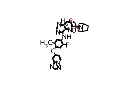 C=CC(=O)N1C2CCC1CN(c1ccc3ncnc(Nc4cc(C)c(Oc5ccn6ncnc6c5)cc4F)c3n1)C2